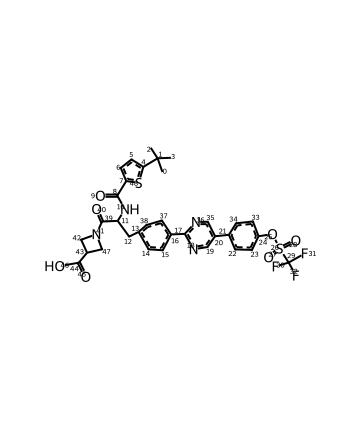 CC(C)(C)c1ccc(C(=O)NC(Cc2ccc(-c3ncc(-c4ccc(OS(=O)(=O)C(F)(F)F)cc4)cn3)cc2)C(=O)N2CC(C(=O)O)C2)s1